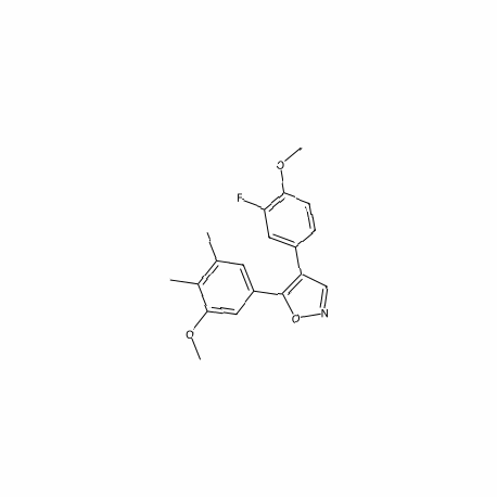 COc1ccc(-c2cnoc2-c2cc(C)c(C)c(OC)c2)cc1F